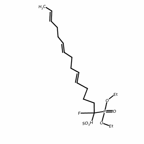 CC=CCCC=CCCC=CCCCC(F)(P(=O)(OCC)OCC)S(=O)(=O)O